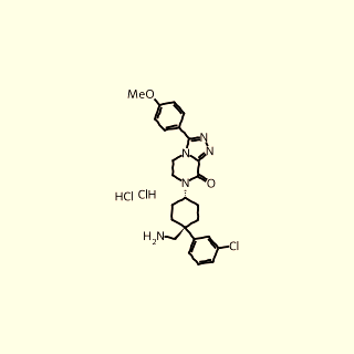 COc1ccc(-c2nnc3n2CCN([C@H]2CC[C@@](CN)(c4cccc(Cl)c4)CC2)C3=O)cc1.Cl.Cl